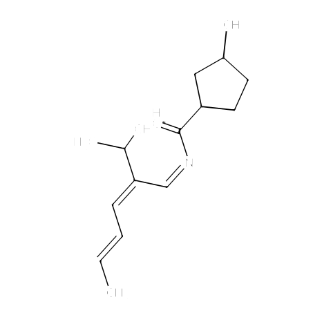 C=C(\N=C/C(=C\C=C\C)C(C)C)C1CCC(C)C1